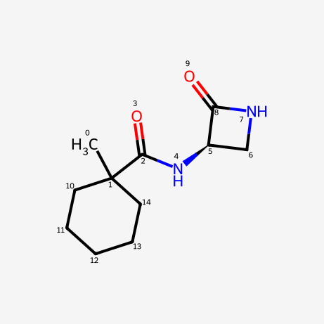 CC1(C(=O)N[C@@H]2CNC2=O)CCCCC1